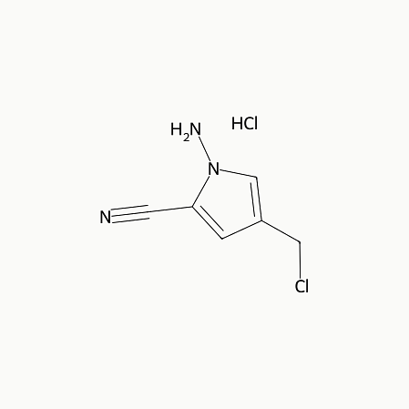 Cl.N#Cc1cc(CCl)cn1N